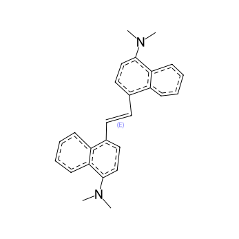 CN(C)c1ccc(/C=C/c2ccc(N(C)C)c3ccccc23)c2ccccc12